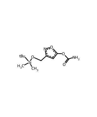 CC(C)(C)[Si](C)(C)OCc1cc(OC(N)=O)on1